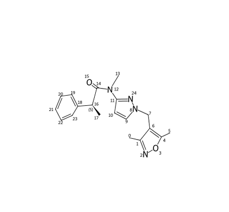 Cc1noc(C)c1Cn1ccc(N(C)C(=O)[C@@H](C)c2ccccc2)n1